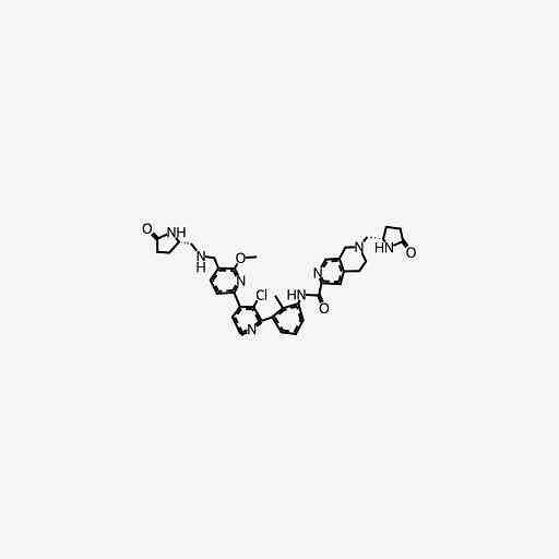 COc1nc(-c2ccnc(-c3cccc(NC(=O)c4cc5c(cn4)CN(C[C@@H]4CCC(=O)N4)CC5)c3C)c2Cl)ccc1CNC[C@@H]1CCC(=O)N1